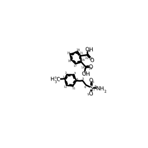 Cc1ccc(CCS(N)(=O)=O)cc1.O=C(O)c1ccccc1C(=O)O